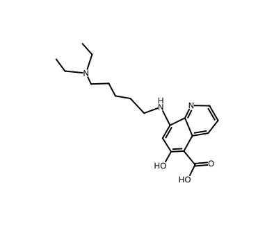 CCN(CC)CCCCCNc1cc(O)c(C(=O)O)c2cccnc12